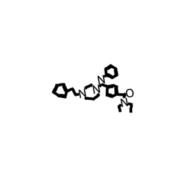 CCN(CC)C(=O)c1ccc(C(=Nc2ccccc2)N2CCCN(CCc3ccccc3)CC2)cc1